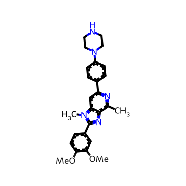 COc1ccc(-c2nc3c(C)nc(-c4ccc(N5CCNCC5)cc4)cc3n2C)cc1OC